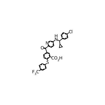 O=C(c1ccc(Sc2ccc(C(F)(F)F)cc2)c(C(=O)O)c1)c1ccc(NC(c2ccc(Cl)cc2)C2CC2)cn1